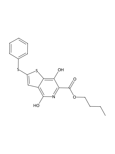 CCCCOC(=O)c1nc(O)c2cc(Sc3ccccc3)sc2c1O